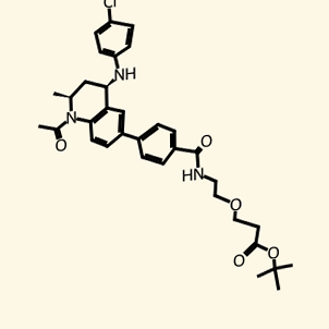 CC(=O)N1c2ccc(-c3ccc(C(=O)NCCOCCC(=O)OC(C)(C)C)cc3)cc2[C@H](Nc2ccc(Cl)cc2)C[C@@H]1C